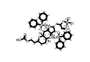 C=CC(C[C@H]1O[C@H]2[C@@H](O[Si](c3ccccc3)(c3ccccc3)C(C)(C)C)[C@H]3OC(CCOC(=O)C(C)(C)C)CC[C@@H]3O[C@H]2[C@H]1O[Si](c1ccccc1)(c1ccccc1)C(C)(C)C)O[Si](CC)(CC)CC